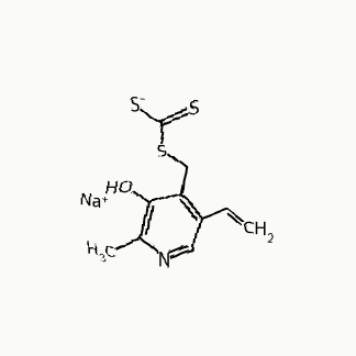 C=Cc1cnc(C)c(O)c1CSC(=S)[S-].[Na+]